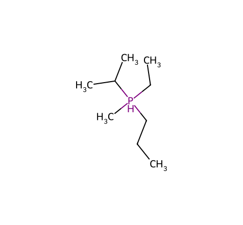 CCC[PH](C)(CC)C(C)C